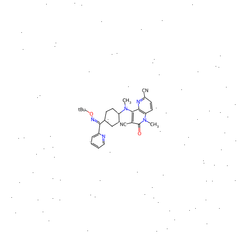 CN(c1c(C#N)c(=O)n(C)c2ccc(C#N)nc12)C1CCC(/C(=N\OC(C)(C)C)c2ccccn2)CC1